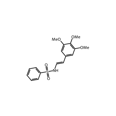 COc1cc(C=CNS(=O)(=O)c2ccccc2)cc(OC)c1OC